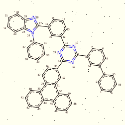 c1ccc(-c2cccc(-c3nc(-c4cccc(-c5nc6ccccc6n5-c5ccccc5)c4)nc(-c4ccc5c6ccccc6c6ccccc6c5c4)n3)c2)cc1